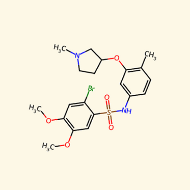 COc1cc(Br)c(S(=O)(=O)Nc2ccc(C)c(OC3CCN(C)C3)c2)cc1OC